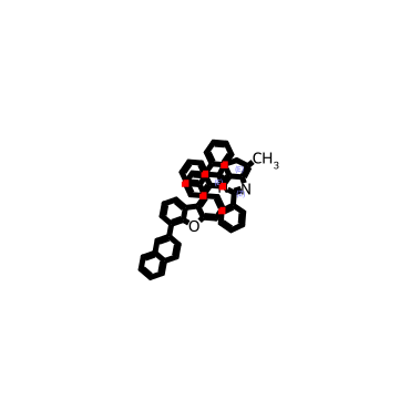 C\C1=C(c2cc3ccccc3c3ccccc23)/N=C(c2ccccc2)\N=C(\c2ccccc2-c2cccc3oc4c(-c5ccc6ccccc6c5)cccc4c23)CC1